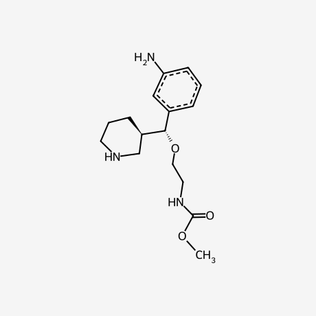 COC(=O)NCCO[C@@H](c1cccc(N)c1)[C@@H]1CCCNC1